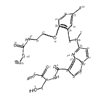 COC(=O)C(CO)NC(=O)c1cnn2ccc(N(C)Cc3cc(F)ccc3OCCNC(=O)OC(C)(C)C)nc12